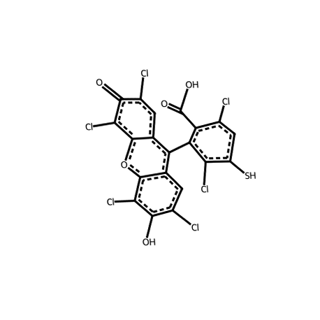 O=C(O)c1c(Cl)cc(S)c(Cl)c1-c1c2cc(Cl)c(=O)c(Cl)c-2oc2c(Cl)c(O)c(Cl)cc12